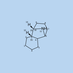 C1CC[C@H]2C(C1)C1CCC[C@@H]2N1